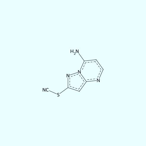 N#CSc1cc2nccc(N)n2n1